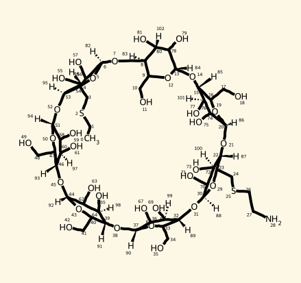 CCSCC1O[C@@H]2O[C@@H]3C(CO)O[C@@H](O[C@@H]4C(CO)O[C@@H](O[C@@H]5C(CSCCN)O[C@@H](O[C@@H]6C(CO)O[C@H](O[C@@H]7C(CO)O[C@H](O[C@@H]8C(CO)O[C@H](O[C@H]1[C@H](O)C2O)C(O)[C@H]8O)C(O)[C@H]7O)C(O)[C@H]6O)C(O)[C@H]5O)C(O)[C@H]4O)C(O)[C@H]3O